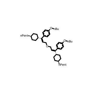 CCCCC[C@H]1CC[C@H](C(=CCOCC=C(c2ccc(OCCCC)cc2)[C@H]2CC[C@H](CCCCC)CC2)c2ccc(OCCCC)cc2)CC1